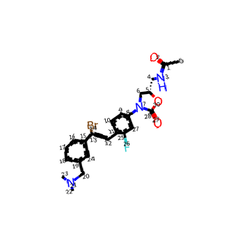 CC(=O)NC[C@H]1CN(c2ccc(C=C(Br)c3cccc(CN(C)C)c3)c(F)c2)C(=O)O1